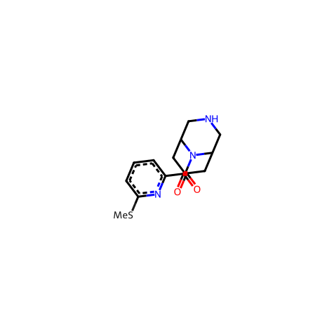 CSc1cccc(C(=O)N2C3CNCC2CC(=O)C3)n1